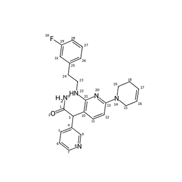 NC(=O)C(c1cccnc1)c1ccc(N2CC=CCC2)nc1NCCc1cccc(F)c1